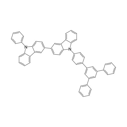 c1ccc(-c2cc(-c3ccccc3)cc(-c3ccc(-n4c5ccccc5c5cc(-c6ccc7c(c6)c6ccccc6n7-c6ccccc6)ccc54)cc3)c2)cc1